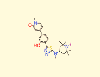 CN(c1nnc(-c2ccc(-c3ccn(C)c(=O)c3)cc2O)s1)C1CC(C)(C)N(I)C(C)(C)C1